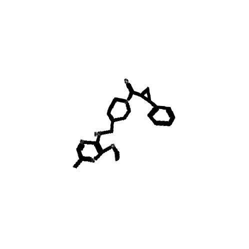 COc1nc(C)cnc1NCC1CCN(C(=O)C2CC2c2ccccc2)CC1